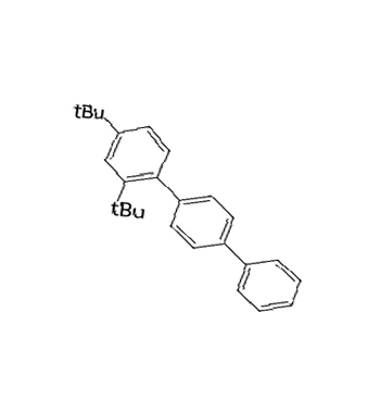 CC(C)(C)c1ccc(-c2ccc(-c3ccccc3)cc2)c(C(C)(C)C)c1